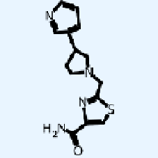 NC(=O)c1csc(CN2CCC(c3cccnc3)C2)n1